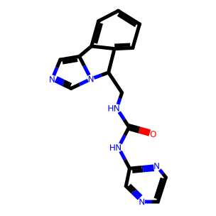 O=C(NCC1c2ccccc2-c2cncn21)Nc1cnccn1